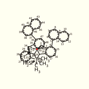 CCC1=Cc2c(-c3cccc4ccccc34)cccc2[CH]1[Ti]([CH3])([CH3])([CH3])(=[SiH2])([c]1ccccc1)[CH]1C(CC)=Cc2c(-c3cccc4ccccc34)cccc21